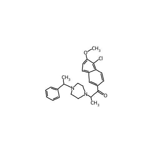 COc1ccc2cc(C(=O)C(C)N3CCN(C(C)c4ccccc4)CC3)ccc2c1Cl